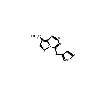 CCOC(=O)c1cnn2c(Cc3ccsc3)ccnc12